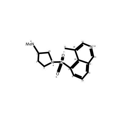 CNC1CCN(S(=O)(=O)c2cccc3cncc(C)c23)C1